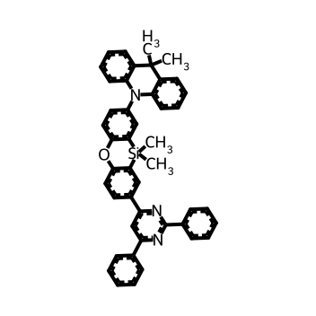 CC1(C)c2ccccc2N(c2ccc3c(c2)[Si](C)(C)c2cc(-c4cc(-c5ccccc5)nc(-c5ccccc5)n4)ccc2O3)c2ccccc21